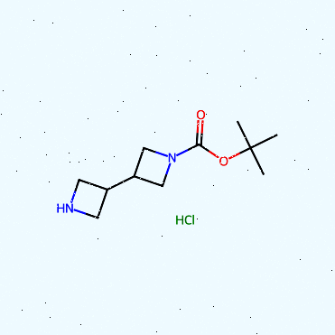 CC(C)(C)OC(=O)N1CC(C2CNC2)C1.Cl